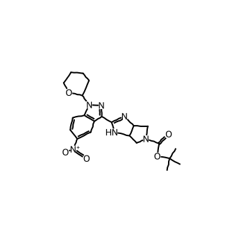 CC(C)(C)OC(=O)N1CC2N=C(c3nn(C4CCCCO4)c4ccc([N+](=O)[O-])cc34)NC2C1